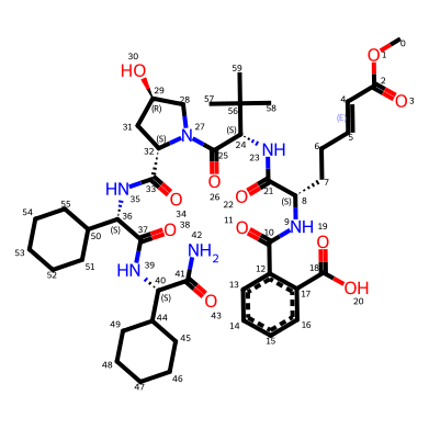 COC(=O)/C=C/CC[C@H](NC(=O)c1ccccc1C(=O)O)C(=O)N[C@H](C(=O)N1C[C@H](O)C[C@H]1C(=O)N[C@H](C(=O)N[C@H](C(N)=O)C1CCCCC1)C1CCCCC1)C(C)(C)C